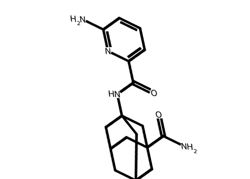 NC(=O)C12CC3CC(CC(NC(=O)c4cccc(N)n4)(C3)C1)C2